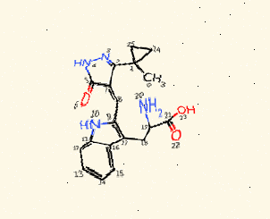 CC1(C2=NNC(=O)C2=Cc2[nH]c3ccccc3c2CC(N)C(=O)O)CC1